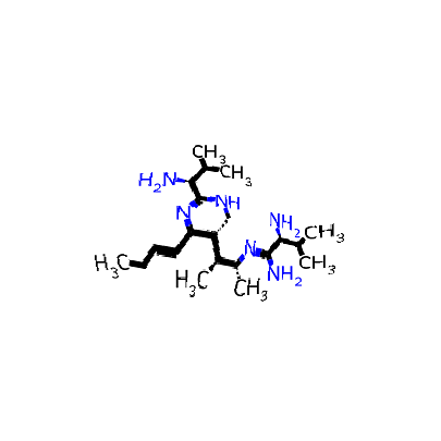 CCC=CC1N=C([C@@H](N)C(C)C)NC[C@@H]1[C@H](C)[C@@H](C)/N=C(\N)[C@@H](N)C(C)C